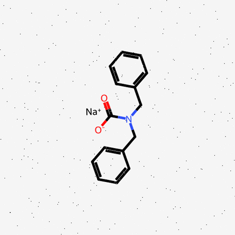 O=C([O-])N(Cc1ccccc1)Cc1ccccc1.[Na+]